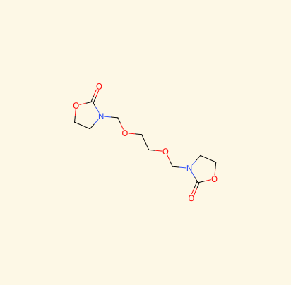 O=C1OCCN1COCCOCN1CCOC1=O